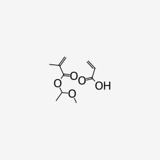 C=C(C)C(=O)OC(C)OC.C=CC(=O)O